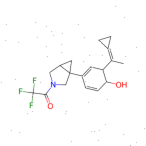 CC(=C1CC1)C1C=C(C23CC2CN(C(=O)C(F)(F)F)C3)C=CC1O